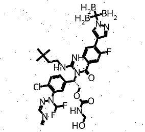 BC(B)(B)n1cc(-c2ccc(C(=O)N(C(=N)NCCC(C)(C)C)[C@H](COC(=O)NCO)c3ccc(Cl)c(N(/N=C\N=C)C(F)F)c3)cc2F)cn1